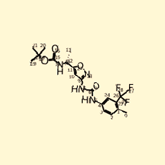 Cc1ccc(NC(=O)Nc2cc([C@@H](C)NC(=O)OC(C)(C)C)on2)cc1C(F)(F)F